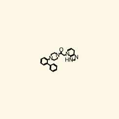 O=C(CN1C=CCc2nc[nH]c21)N1CCN(c2ccccc2-c2ccccc2)CC1